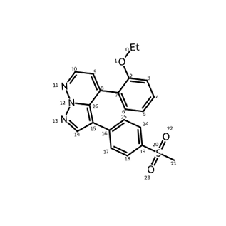 CCOc1ccccc1-c1ccnn2ncc(-c3ccc(S(C)(=O)=O)cc3)c12